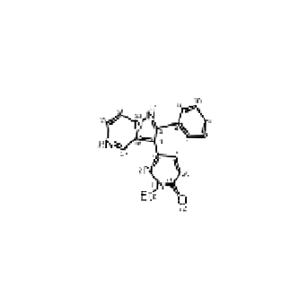 CCn1nc(-c2c(-c3ccccc3)nn3ccncc23)ccc1=O